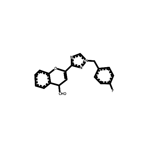 O=CC1C=C(c2ncn(Cc3ccc(F)cc3)n2)Oc2ccccc21